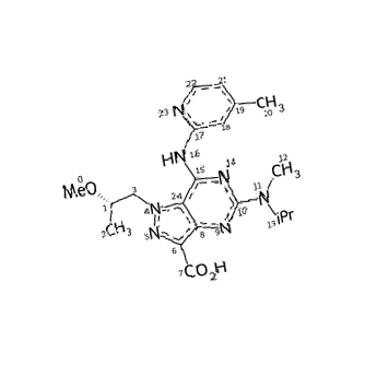 CO[C@@H](C)Cn1nc(C(=O)O)c2nc(N(C)C(C)C)nc(Nc3cc(C)ccn3)c21